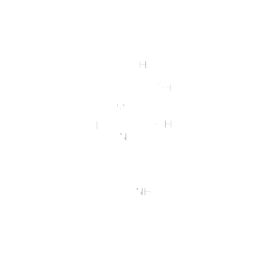 NC(=O)c1ccc[n+](C2OC(CO)C(O)C2O)c1.[Cl-]